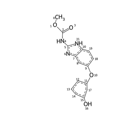 COC(=O)Nc1nc2cc(Oc3cccc(O)c3)ccc2[nH]1